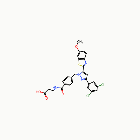 COc1ccc2nc(-c3cc(-c4cc(Cl)cc(Cl)c4)nn3Cc3ccc(C(=O)NCCC(=O)O)cc3)sc2c1